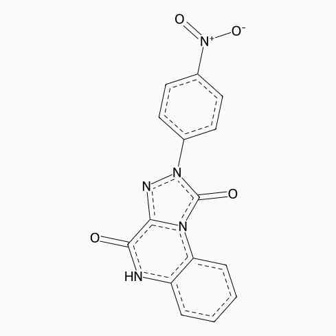 O=c1[nH]c2ccccc2n2c(=O)n(-c3ccc([N+](=O)[O-])cc3)nc12